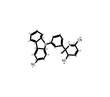 CC1(c2cccc(-n3c4ccccc4c4cc(C#N)ccc43)c2)N=C(C#N)C=CC1C#N